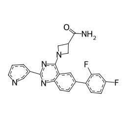 NC(=O)C1CN(c2nc(-c3cccnc3)nc3ccc(-c4ccc(F)cc4F)cc23)C1